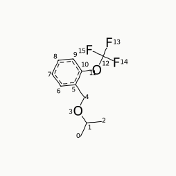 CC(C)OCc1ccccc1OC(F)(F)F